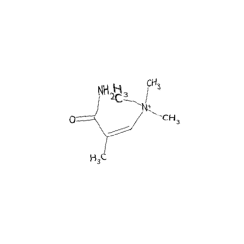 CC(=C[N+](C)(C)C)C(N)=O